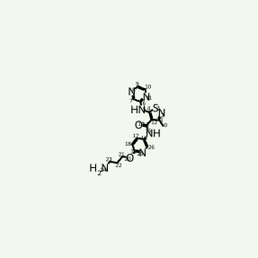 Cc1nsc(Nc2cnccn2)c1C(=O)Nc1ccc(OCCCN)nc1